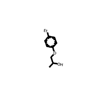 CCc1ccc(OCC(C)O)cc1